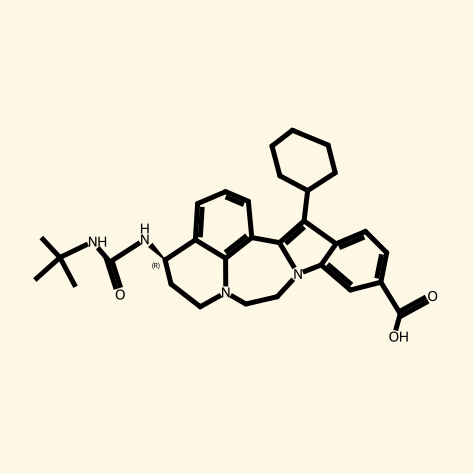 CC(C)(C)NC(=O)N[C@@H]1CCN2CCn3c(c(C4CCCCC4)c4ccc(C(=O)O)cc43)-c3cccc1c32